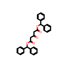 O=C(CC(=O)OC(c1ccccc1)c1ccccc1)CC(=O)OC(c1ccccc1)c1ccccc1